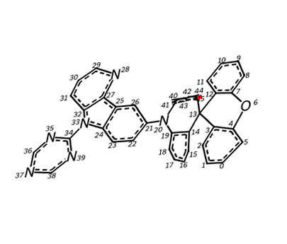 c1ccc2c(c1)Oc1ccccc1C21c2ccccc2N(c2ccc3c(c2)c2ncccc2n3-c2ncncn2)c2ccccc21